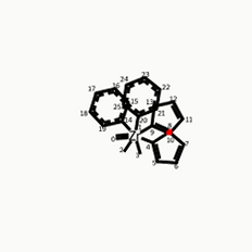 [CH2]=[Zr]([CH3])([CH3])([C]1=CC=CC1)([C]1=CC=CC1)([c]1ccccc1)[c]1ccccc1